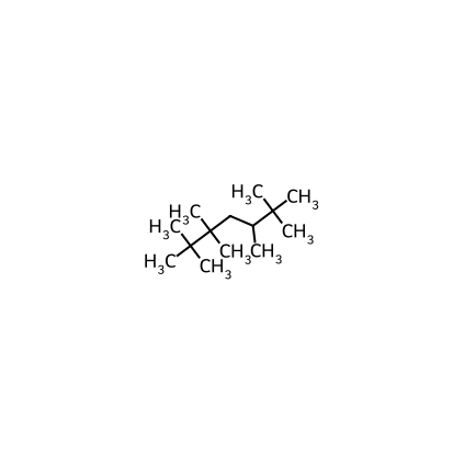 CC(CC(C)(C)C(C)(C)C)C(C)(C)C